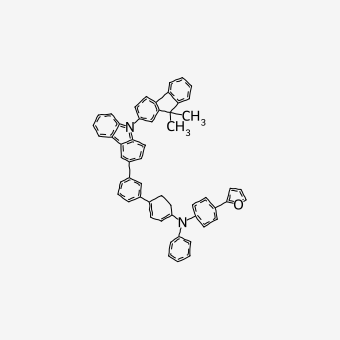 CC1(C)c2ccccc2-c2ccc(-n3c4ccccc4c4cc(-c5cccc(C6=CC=C(N(c7ccccc7)c7ccc(-c8ccco8)cc7)CC6)c5)ccc43)cc21